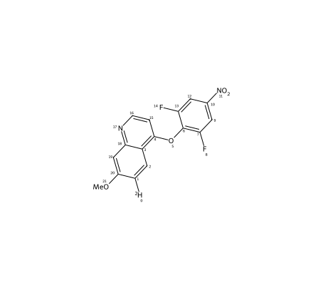 [2H]c1cc2c(Oc3c(F)cc([N+](=O)[O-])cc3F)ccnc2cc1OC